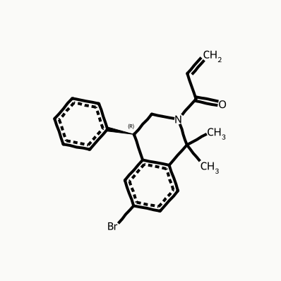 C=CC(=O)N1C[C@H](c2ccccc2)c2cc(Br)ccc2C1(C)C